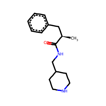 C[C@H](Cc1ccccc1)C(=O)NCC1CCNCC1